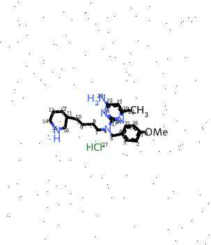 COc1ccc(CN(CCCCC2CCCNC2)c2nc(C)cc(N)n2)cc1.Cl